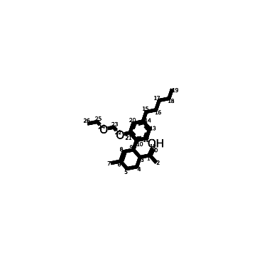 C=C(C)C1CCC(C)=CC1c1c(O)cc(CCCCC)cc1OCOCC